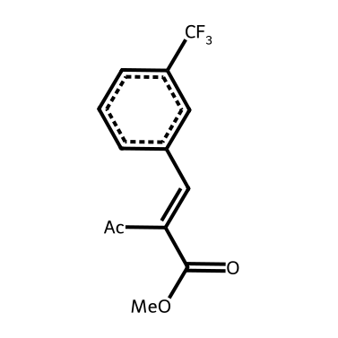 COC(=O)/C(=C/c1cccc(C(F)(F)F)c1)C(C)=O